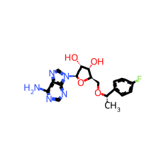 C[C@H](OC[C@H]1O[C@@H](n2cnc3c(N)ncnc32)[C@H](O)[C@@H]1O)c1ccc(F)cc1